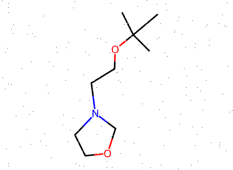 CC(C)(C)OCCN1CCOC1